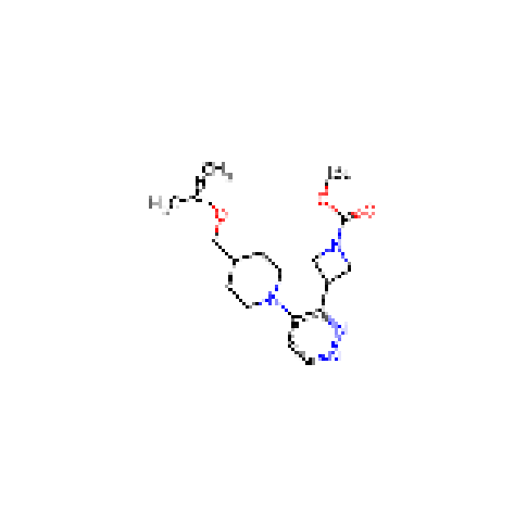 C[SiH](C)OCC1CCN(c2ccnnc2C2CN(C(=O)OC(C)(C)C)C2)CC1